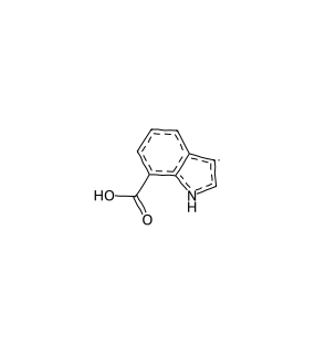 O=C(O)c1cccc2[c]c[nH]c12